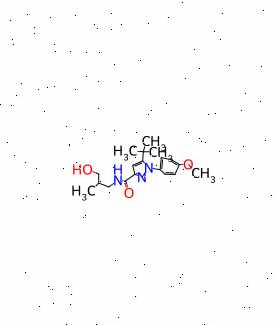 COc1ccc(-n2nc(C(=O)NCC(C)CO)cc2C(C)(C)C)cc1